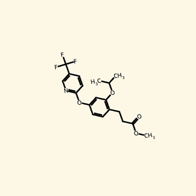 COC(=O)CCc1ccc(Oc2ccc(C(F)(F)F)cn2)cc1OC(C)C